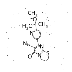 CCOC(C)(C)c1ccc(-c2nc3n(c(=O)c2C#N)CCCS3)cn1